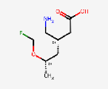 C[C@@H](C[C@H](CN)CC(=O)O)OCF